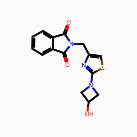 O=C1c2ccccc2C(=O)N1Cc1csc(N2CC(O)C2)n1